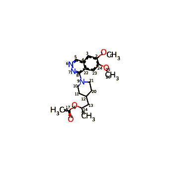 COc1cc2cnnc(N3CCC(CC(C)OC(C)=O)CC3)c2cc1OC